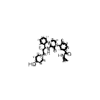 Cc1ccc(C(=O)NC2CC2)cc1-n1ccnc(N[C@@H](c2ccccc2)[C@@H](C)CN2CCC(O)CC2)c1=O